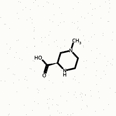 CN1CCN[C@@H](C(=O)O)C1